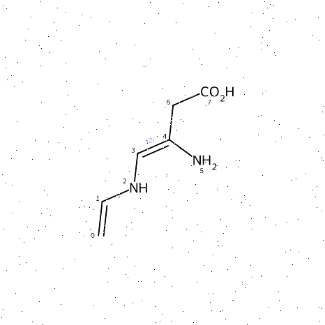 C=CN/C=C(\N)CC(=O)O